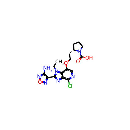 CCn1c(-c2nonc2N)nc2c(Cl)ncc(OCC[C@@H]3CCCN3C(=O)O)c21